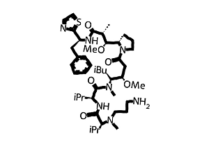 CC[C@H](C)[C@@H]([C@H](CC(=O)N1CCC[C@H]1[C@H](OC)[C@@H](C)C(=O)N[C@@H](Cc1ccccc1)c1nccs1)OC)N(C)C(=O)[C@@H](NC(=O)[C@H](C(C)C)N(C)CCCN)C(C)C